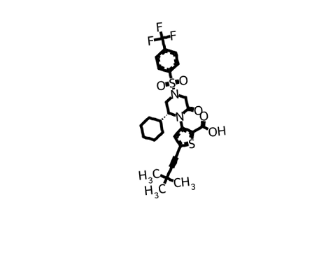 CC(C)(C)C#Cc1cc(N2C(=O)CN(S(=O)(=O)c3ccc(C(F)(F)F)cc3)C[C@H]2C2CCCCC2)c(C(=O)O)s1